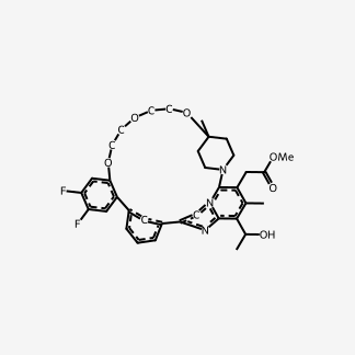 COC(=O)Cc1c(C)c(C(C)O)c2nc3cn2c1N1CCC(C)(CC1)OCCOCCOc1cc(F)c(F)cc1-c1cccc-3c1